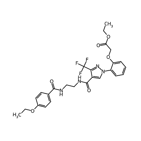 CCOC(=O)COc1ccccc1-n1cc(C(=O)NCCNC(=O)c2ccc(OCC)cc2)c(C(F)(F)F)n1